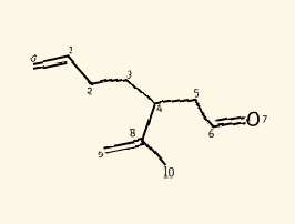 C=CCCC(CC=O)C(=C)C